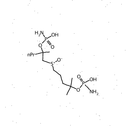 CCCC(C)(C[S+]([O-])CCCC(C)(C)OP(N)(=O)O)OP(N)(=O)O